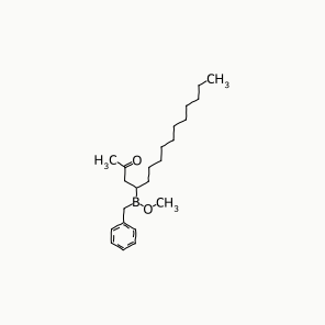 CCCCCCCCCCCC(CC(C)=O)B(Cc1ccccc1)OC